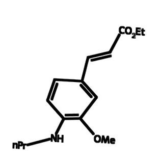 CCCNc1ccc(C=CC(=O)OCC)cc1OC